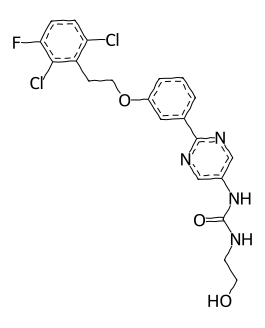 O=C(NCCO)Nc1cnc(-c2cccc(OCCc3c(Cl)ccc(F)c3Cl)c2)nc1